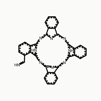 N=Cc1cccc2c3nc4nc(nc5[nH]c(nc6nc(nc([nH]3)c12)-c1ccccc1-6)c1ccccc51)-c1ccccc1-4